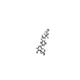 CN(Cc1cncc(-c2ccc(F)c(OC(F)F)c2)n1)CC(C)(C)OC=O